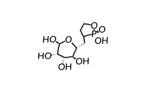 O=P1(O)OCCC1C[C@H]1O[C@H](O)[C@@H](O)[C@@H](O)[C@@H]1O